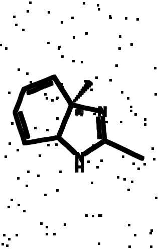 CC1=N[C@]2(C)C=CC=CC2N1